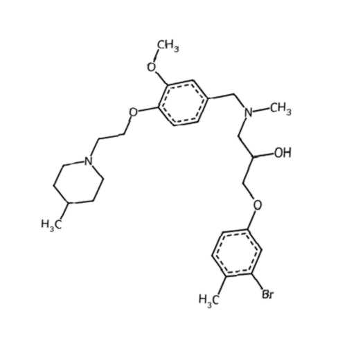 COc1cc(CN(C)CC(O)COc2ccc(C)c(Br)c2)ccc1OCCN1CCC(C)CC1